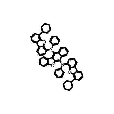 c1ccc(N(c2cccc3c2oc2c(C4CCCCC4)cccc23)c2c3ccccc3c(N(c3ccccc3)c3cccc4c3oc3c(C5CCCCC5)cccc34)c3c2oc2ccccc23)cc1